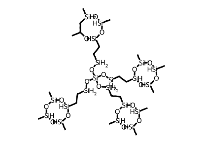 CC1C[SiH](C)O[SiH](C)O[SiH](CC[SiH2]O[Si](O[SiH2]CC[SiH]2O[SiH](C)O[SiH](C)O[SiH](C)O2)(O[SiH2]CC[SiH]2O[SiH](C)O[SiH](C)O[SiH](C)O2)O[SiH2]CC[SiH]2O[SiH](C)O[SiH](C)O[SiH](C)O2)O1